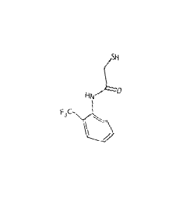 O=C(CS)Nc1ccccc1C(F)(F)F